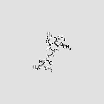 COc1cc(C=CC(=O)NC(C)C)cc(OC)c1OC